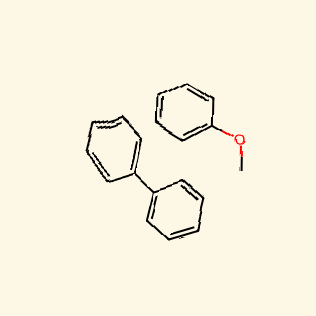 COc1ccccc1.c1ccc(-c2ccccc2)cc1